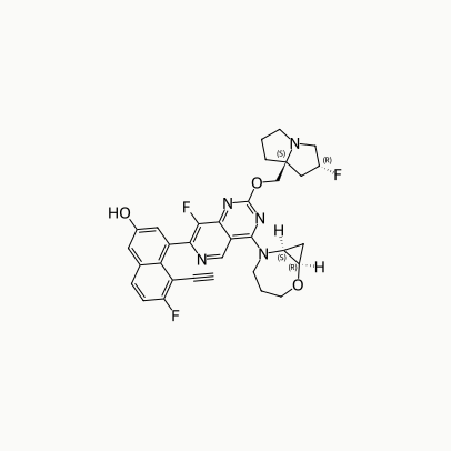 C#Cc1c(F)ccc2cc(O)cc(-c3ncc4c(N5CCCO[C@@H]6C[C@@H]65)nc(OC[C@@]56CCCN5C[C@H](F)C6)nc4c3F)c12